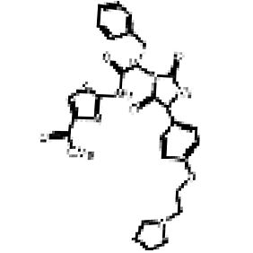 COC(=O)c1csc(NC(=O)[C@H](Cc2ccccc2)N2C(=O)NC(c3ccc(OCCN4CCCC4)cc3)C2=O)n1